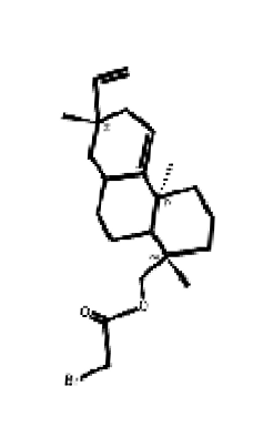 C=C[C@]1(C)CC=C2C(CCC3[C@@](C)(COC(=O)CBr)CCC[C@]23C)C1